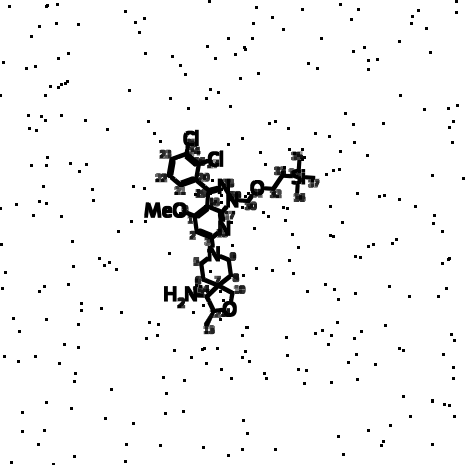 COc1cc(N2CCC3(CC2)CO[C@@H](C)[C@H]3N)nc2c1c(-c1cccc(Cl)c1Cl)nn2COCC[Si](C)(C)C